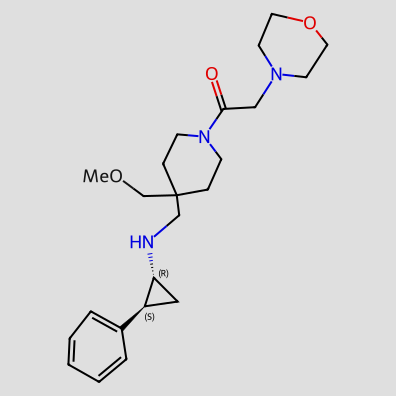 COCC1(CN[C@@H]2C[C@H]2c2ccccc2)CCN(C(=O)CN2CCOCC2)CC1